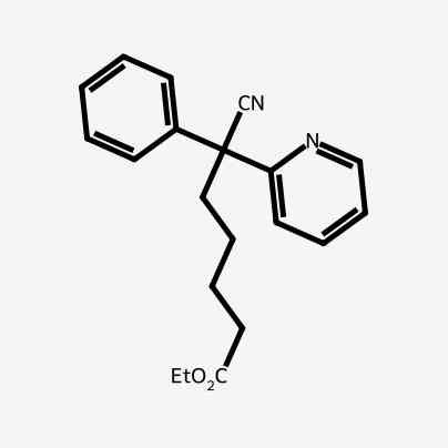 CCOC(=O)CCCCC(C#N)(c1ccccc1)c1ccccn1